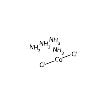 N.N.N.N.[Cl][Co][Cl]